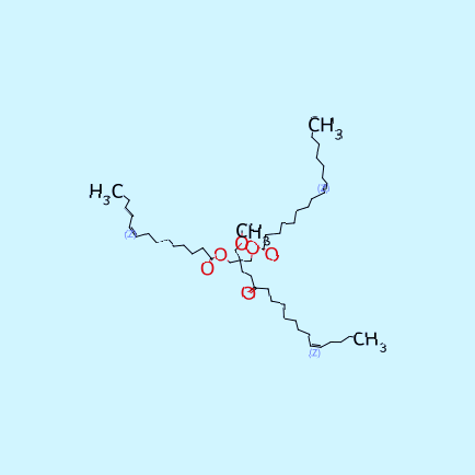 CCCC/C=C\CCCCCCCC(=O)CCC(COC)(COC(=O)CCCCCCC/C=C\CCCC)COC(=O)CCCCCCC/C=C\CCCCCC